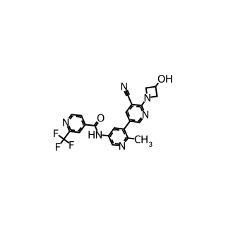 Cc1ncc(NC(=O)c2ccnc(C(F)(F)F)c2)cc1-c1cnc(N2CC(O)C2)c(C#N)c1